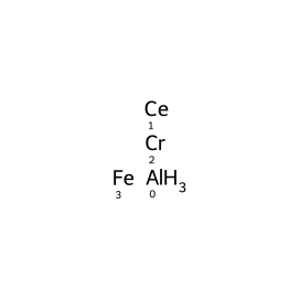 [AlH3].[Ce].[Cr].[Fe]